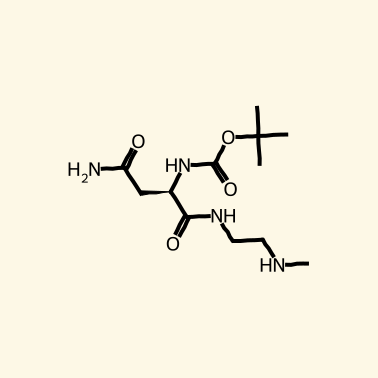 CNCCNC(=O)[C@@H](CC(N)=O)NC(=O)OC(C)(C)C